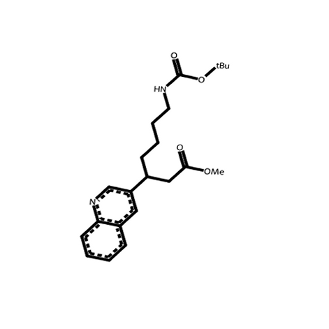 COC(=O)CC(CCCCNC(=O)OC(C)(C)C)c1cnc2ccccc2c1